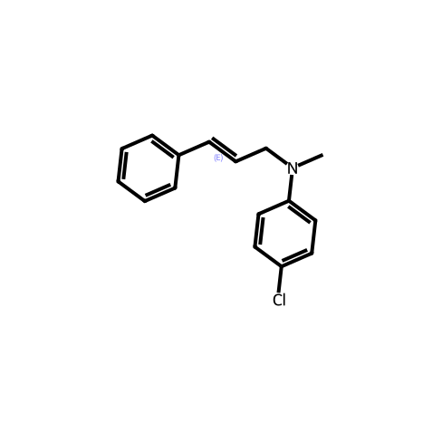 CN(C/C=C/c1ccccc1)c1ccc(Cl)cc1